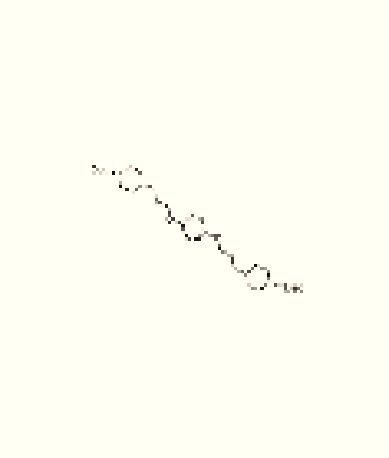 CCCCCCCCCCC1CCC(CCCOc2ccc(OCCCC3CCC(CCCCCCCCCC)CC3)cc2)CC1